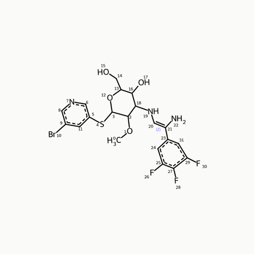 COC1C(Sc2cncc(Br)c2)OC(CO)C(O)C1N/C=C(\N)c1cc(F)c(F)c(F)c1